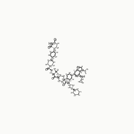 CC(C)n1cnc2cc(-c3ccc4c(c3)N([C@H]3C[C@@H](N5CCCCC5)C3)C(=O)C43CCN(C(=O)[C@H]4CN(C(=O)C5CCN(c6ccc(C7CCC(=O)NC7=O)cc6)CC5)CC4(C)C)CC3)nc(NC3CC3)c21